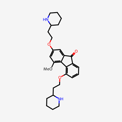 COc1cc(OCCC2CCCCN2)cc2c1-c1c(OCCC3CCCCN3)cccc1C2=O